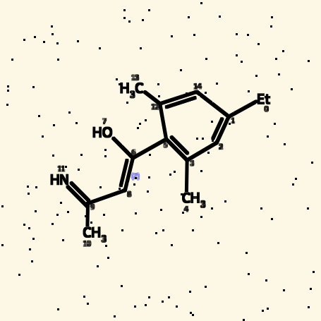 CCc1cc(C)c(/C(O)=C/C(C)=N)c(C)c1